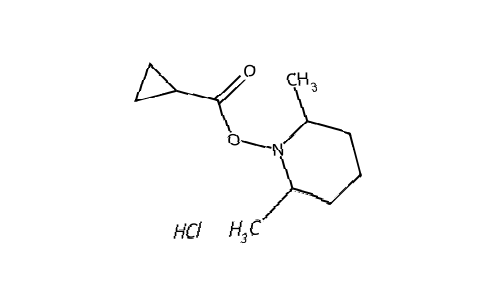 CC1CCCC(C)N1OC(=O)C1CC1.Cl